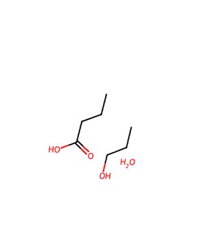 CCCC(=O)O.CCCO.O